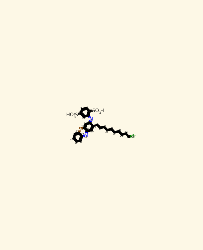 O=S(=O)(O)c1ccc(S(=O)(=O)O)c(/N=c2\cc3sc4ccccc4nc-3cc2CCCCCCCCCCBr)c1